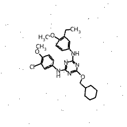 CCc1cc(Nc2nc(Nc3ccc(OC)c(Cl)c3)nc(OCC3CCCCC3)n2)ccc1OC